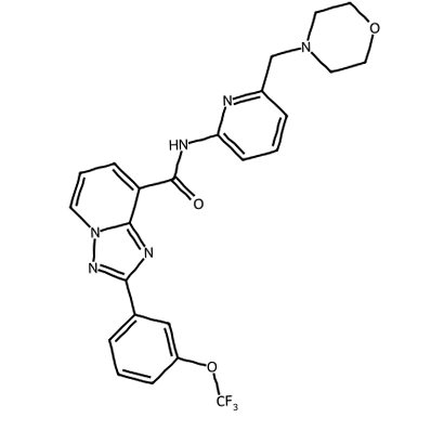 O=C(Nc1cccc(CN2CCOCC2)n1)c1cccn2nc(-c3cccc(OC(F)(F)F)c3)nc12